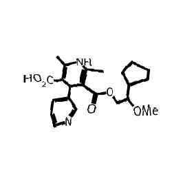 COC(COC(=O)C1=C(C)NC(C)=C(C(=O)O)C1c1cccnc1)C1CCCC1